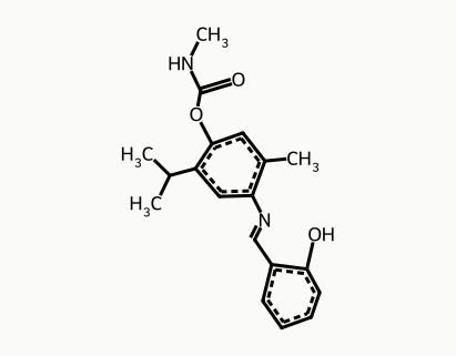 CNC(=O)Oc1cc(C)c(N=Cc2ccccc2O)cc1C(C)C